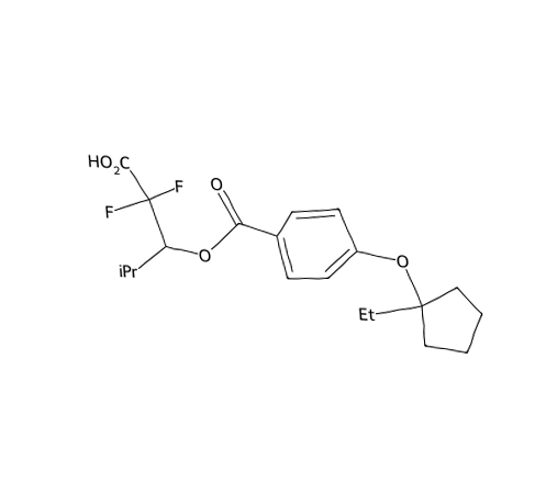 CCC1(Oc2ccc(C(=O)OC(C(C)C)C(F)(F)C(=O)O)cc2)CCCC1